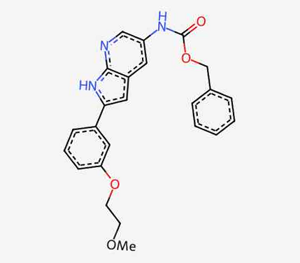 COCCOc1cccc(-c2cc3cc(NC(=O)OCc4ccccc4)cnc3[nH]2)c1